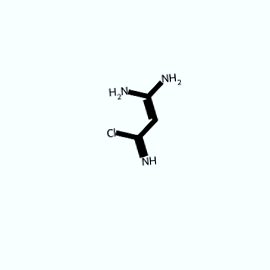 N=C(Cl)C=C(N)N